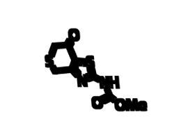 COC(=O)Nc1nc2c(s1)C(=O)CSC2